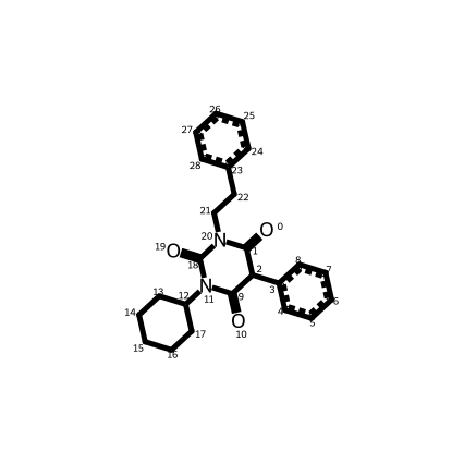 O=C1C(c2ccccc2)C(=O)N(C2CCCCC2)C(=O)N1CCc1ccccc1